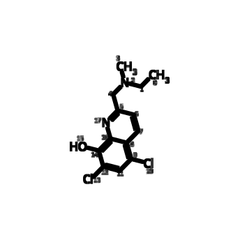 CCN(C)Cc1ccc2c(Cl)cc(Cl)c(O)c2n1